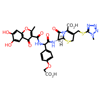 Cc1oc2cc(O)c(O)cc2c(=O)c1C(=O)NC(C(=O)N[C@@H]1C(=O)N2C(C(=O)O)=C(CSc3nnnn3C)CS[C@@H]12)c1ccc(OCC(=O)O)cc1